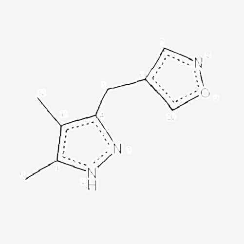 Cc1[nH]nc(Cc2[c]noc2)c1C